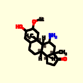 CCOC1C[C@@]2(C)C(CC[C@@H]3[C@H]2C(N)C[C@]2(C)C(=O)CC[C@@H]32)CC1O